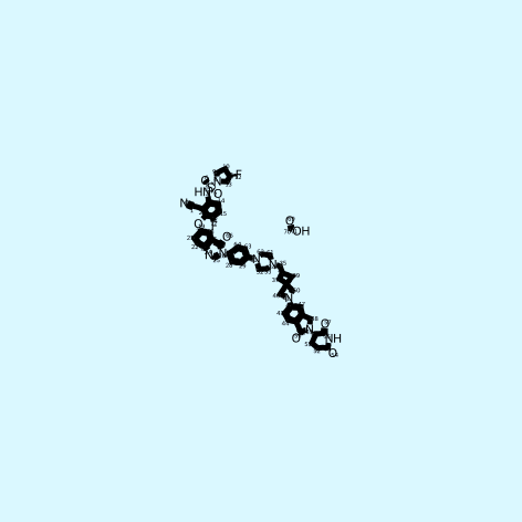 N#Cc1c(NS(=O)(=O)N2CC[C@@H](F)C2)ccc(F)c1Oc1ccc2ncn(-c3ccc(N4CCN(CC5CC6(C5)CN(c5ccc7c(c5)CN([C@H]5CCC(=O)NC5=O)C7=O)C6)CC4)cc3)c(=O)c2c1.O=CO